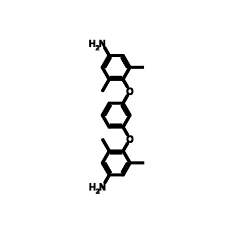 Cc1cc(N)cc(C)c1Oc1cccc(Oc2c(C)cc(N)cc2C)c1